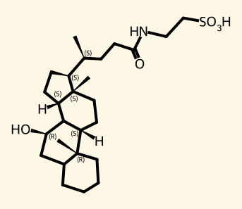 C[C@@H](CCC(=O)NCCS(=O)(=O)O)[C@@H]1CC[C@H]2C3[C@H](O)CC4CCCC[C@@]4(C)[C@H]3CC[C@]21C